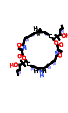 C/C=C/[C@H](O)C(C)(C)[C@@H]1C/C=C\C2C[C@@H]2/C=C/C=C\c2nc(co2)C(=O)O[C@H](C(C)(C)[C@@H](O)/C=C/C)C/C=C\[C@H]2N[C@H]2/C=C/C=C\c2nc(co2)C(=O)O1